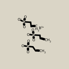 C=CCS(=O)(=O)[O-].C=CCS(=O)(=O)[O-].C=CCS(=O)(=O)[O-].[B+3]